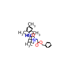 CC[N+](CC)(CC(=O)OCc1ccccc1)C1(C(=O)Nc2c(C)cc(C)cc2C)CCC1